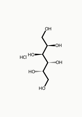 Cl.OC[C@@H](O)[C@H](O)[C@H](O)[C@@H](O)CO